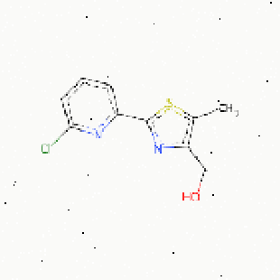 Cc1sc(-c2cccc(Cl)n2)nc1CO